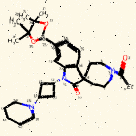 CCC(=O)N1CCC2(CC1)C(=O)N([C@H]1C[C@@H](N3CCCCC3)C1)c1cc(B3OC(C)(C)C(C)(C)O3)ccc12